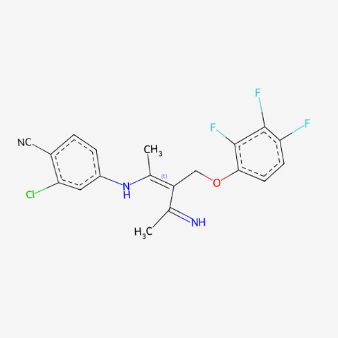 CC(=N)/C(COc1ccc(F)c(F)c1F)=C(/C)Nc1ccc(C#N)c(Cl)c1